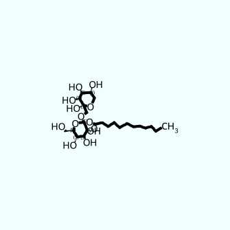 CCCCCCCCCCCC(=O)O[C@@]1(OC[C@]2(O)OC[C@@H](O)[C@@H](O)[C@@H]2O)O[C@H](CO)[C@@H](O)[C@H](O)[C@H]1O